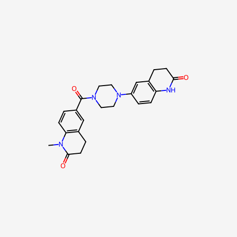 CN1C(=O)CCc2cc(C(=O)N3CCN(c4ccc5c(c4)CCC(=O)N5)CC3)ccc21